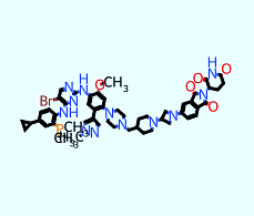 COc1cc(N2CCN(CC3CCN(C4CN(c5ccc6c(c5)C(=O)N(C5CCC(=O)NC5=O)C6=O)C4)CC3)CC2)c(-c2cnn(C)c2)cc1Nc1ncc(Br)c(Nc2ccc(C3CC3)cc2P(C)C)n1